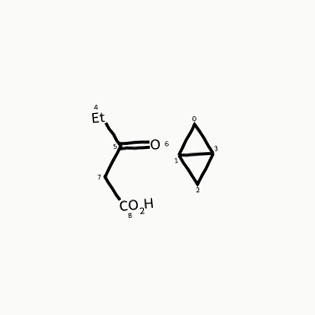 C1C2CC12.CCC(=O)CC(=O)O